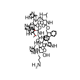 CC(C)C[C@H](NC(=O)OCC1c2ccccc2-c2ccccc21)C(=O)N[C@@H](Cc1c[nH]cn1)C(=O)N[C@@H](Cc1c[nH]cn1)C(=O)N[C@@H](CC(C)C)C(=O)N[C@@H](Cc1c[nH]cn1)C(=O)N[C@@H](Cc1c[nH]cn1)C(=O)N[C@@H](Cc1c[nH]cn1)C(=O)N[C@@H](CCCCN)C(=O)O